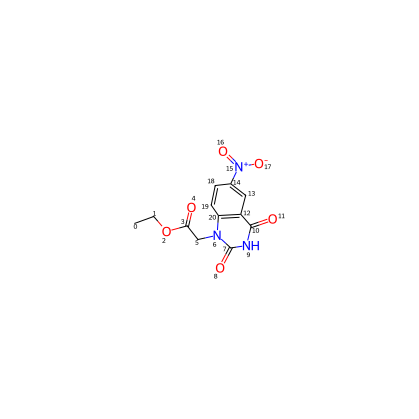 CCOC(=O)Cn1c(=O)[nH]c(=O)c2cc([N+](=O)[O-])ccc21